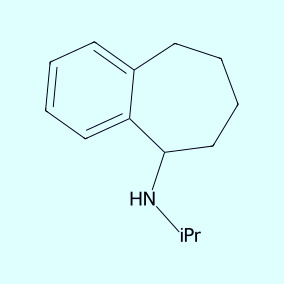 CC(C)NC1CCCCc2ccccc21